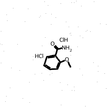 COc1ccccc1C(N)=O.Cl.Cl